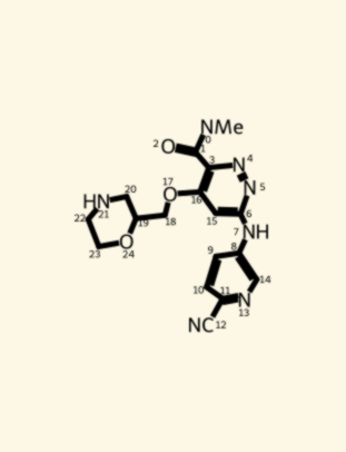 CNC(=O)c1nnc(Nc2ccc(C#N)nc2)cc1OCC1CNCCO1